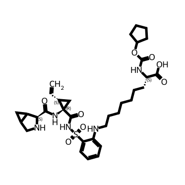 C=C[C@@H]1C[C@]1(NC(=O)[C@H]1NCC2CC21)C(=O)NS(=O)(=O)c1ccccc1NCCCCCCC[C@H](NC(=O)OC1CCCC1)C(=O)O